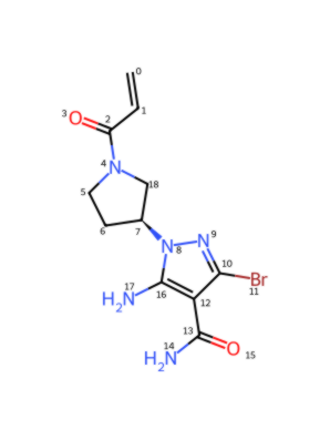 C=CC(=O)N1CC[C@H](n2nc(Br)c(C(N)=O)c2N)C1